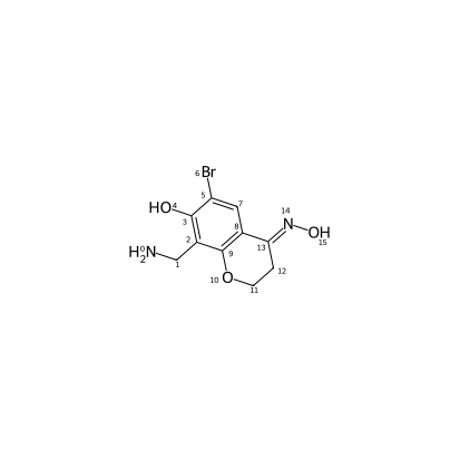 NCc1c(O)c(Br)cc2c1OCCC2=NO